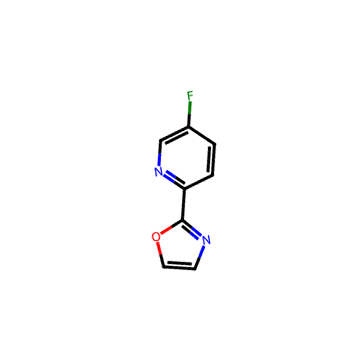 Fc1ccc(-c2ncco2)nc1